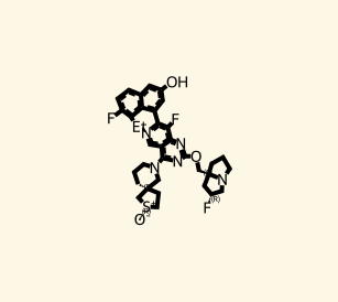 CCc1c(F)ccc2cc(O)cc(-c3ncc4c(N5CCC[C@@]6(CC[S@+]([O-])C6)C5)nc(OC[C@@]56CCCN5C[C@H](F)C6)nc4c3F)c12